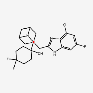 OC1(CN2C3CC2CN(Cc2nc4c(Cl)cc(F)cc4[nH]2)C3)CCC(F)(F)CC1